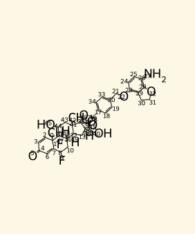 C[C@]12C=CC(=O)C=C1[C@@H](F)C[C@H]1[C@@H]3C[C@H]4O[C@@H](c5ccc(COc6ccc(N)c7c6CCO7)cc5)O[C@@]4(C(=O)CO)[C@@]3(C)C[C@H](O)[C@@]12F